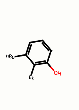 CCCCc1cc[c]c(O)c1CC